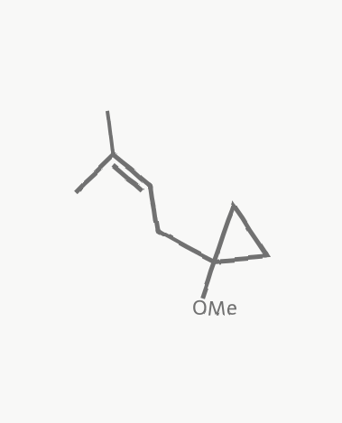 COC1(CC=C(C)C)CC1